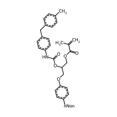 C=C(C)C(=O)OCC(COc1ccc(CCCCCCCCC)cc1)OC(=O)Nc1ccc(Cc2ccc(C)cc2)cc1